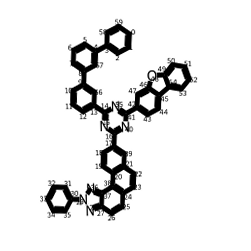 c1ccc(-c2cccc(-c3cccc(-c4nc(-c5ccc6c(ccc7ccc8nn(-c9ccccc9)nc8c76)c5)nc(-c5ccc6c(c5)oc5ccccc56)n4)c3)c2)cc1